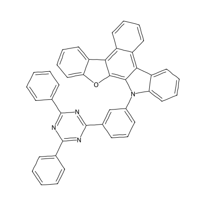 c1ccc(-c2nc(-c3ccccc3)nc(-c3cccc(-n4c5ccccc5c5c6ccccc6c6c7ccccc7oc6c54)c3)n2)cc1